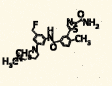 Cc1ccc(C(=O)Nc2cc(CF)cc(N3CC[C@H](CN(C)C)C3)c2)cc1-c1cnc(C(N)=O)s1